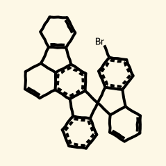 Brc1ccc2c(c1)C1(c3ccccc3-c3c1cc1c4c3C=CCC4C3=C1C=CCC3)C1C=CC=CC21